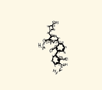 CNc1cccc(-c2cccc(-c3cnc(CN4CC(O)C4)c(OC)n3)c2Cl)c1Cl